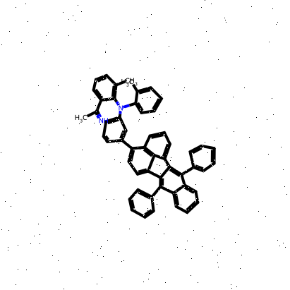 CC(=N)c1cccc(C)c1N(c1cccc(-c2ccc3c4c(cccc24)-c2c-3c(-c3ccccc3)c3ccccc3c2-c2ccccc2)c1)c1ccccc1C